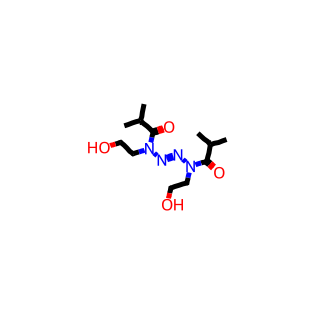 C[C](C)C(=O)N(CCO)N=NN(CCO)C(=O)[C](C)C